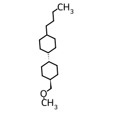 CCCCC1CCC([C@H]2CC[C@H](COC)CC2)CC1